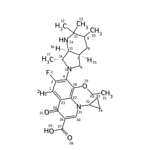 [2H]c1c(F)c(N2C[C@@H]3CC(C)C(C)(C)N[C@@H]3[C@H]2C)c(OCC)c2c1c(=O)c(C(=O)O)cn2C1CC1